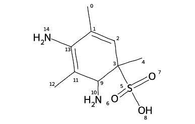 CC1=CC(C)(S(=O)(=O)O)C(N)C(C)=C1N